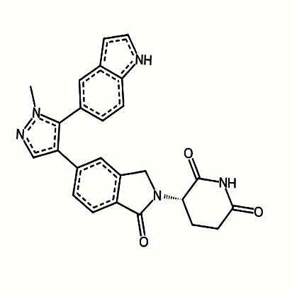 Cn1ncc(-c2ccc3c(c2)CN([C@H]2CCC(=O)NC2=O)C3=O)c1-c1ccc2[nH]ccc2c1